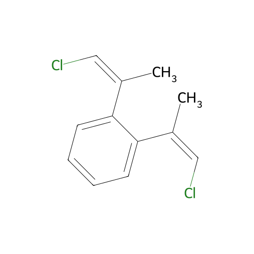 C/C(=C/Cl)c1ccccc1/C(C)=C\Cl